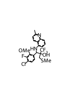 COc1c(C(Nc2cccc3nc(C)ccc23)C(O)(CSC)C(F)(F)F)ccc(Cl)c1F